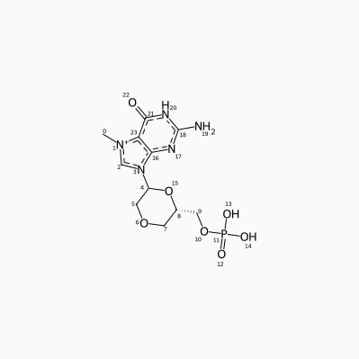 C[n+]1cn(C2COC[C@@H](COP(=O)(O)O)O2)c2nc(N)[nH]c(=O)c21